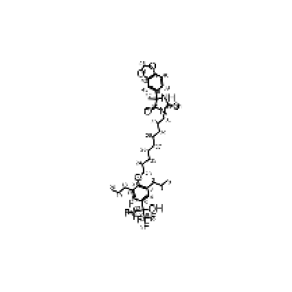 CCCc1cc(C(O)(C(F)(F)F)C(F)(F)F)cc(CCC)c1OCCCCCCCCCN1C(=O)NC(C)(c2ccc3c(c2)OCO3)C1=O